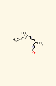 CCCCC(C)/C=C/CC(C)/C=C/C[O]